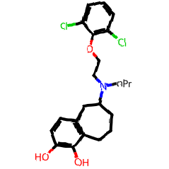 CCCN(CCOc1c(Cl)cccc1Cl)C1CCCc2c(ccc(O)c2O)C1